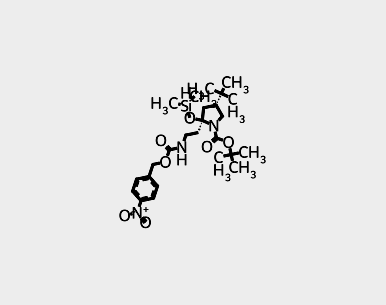 C[SiH](C)O[C@@]1(CCNC(=O)OCc2ccc([N+](=O)[O-])cc2)C[C@H](C(C)(C)C)CN1C(=O)OC(C)(C)C